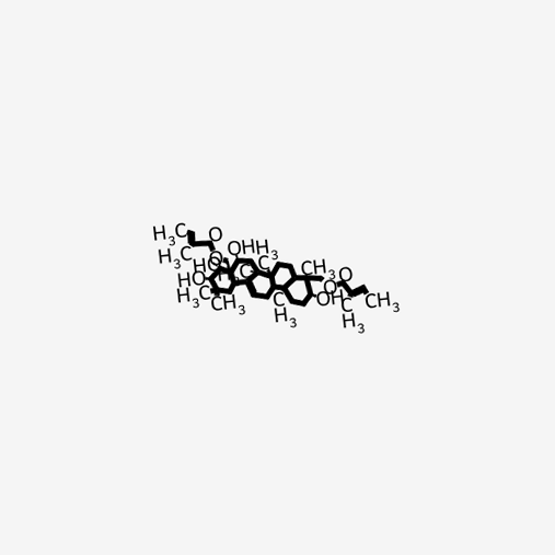 C/C=C(\C)C(=O)OC[C@@]12C(CC(C)(C)[C@@H](O)[C@@H]1O)C1=CCC3[C@@]4(C)CC[C@H](O)[C@](C)(COC(=O)/C(C)=C/C)C4CC[C@@]3(C)[C@]1(C)C[C@H]2O